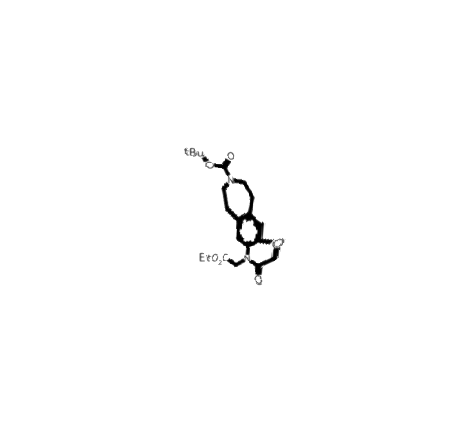 CCOC(=O)CN1C(=O)COc2cc3c(cc21)CCN(C(=O)OC(C)(C)C)CC3